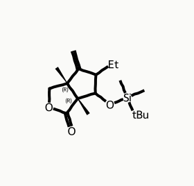 C=C1C(CC)C(O[Si](C)(C)C(C)(C)C)[C@]2(C)C(=O)OC[C@]12C